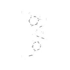 C=Cc1ccc(S(=O)(=O)NS(=O)(=O)c2c(C)cc(C)cc2C)cc1